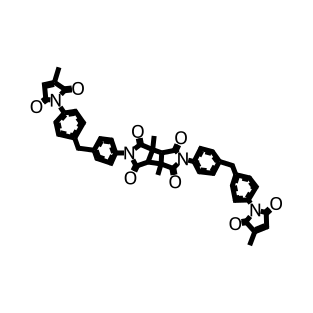 CC1=CC(=O)N(c2ccc(Cc3ccc(N4C(=O)C5C(C)(C4=O)C4C(=O)N(c6ccc(Cc7ccc(N8C(=O)C=C(C)C8=O)cc7)cc6)C(=O)C54C)cc3)cc2)C1=O